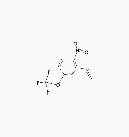 C=[C]c1cc(OC(F)(F)F)ccc1[N+](=O)[O-]